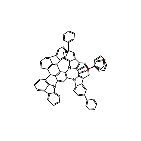 c1ccc(-c2ccc3c(c2)c2cc(-c4ccccc4)ccc2n3-c2cc3c4c(c2-n2c5ccc(-c6ccccc6)cc5c5cc(-c6ccccc6)ccc52)-n2c5ccccc5c5cccc(c52)C4c2cccc4c5ccccc5n-3c24)cc1